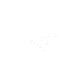 Cc1c(C(=O)N(c2ccc(O)cc2)c2cnc3c(ccn3C)c2)cc(-c2cc(F)ccc2C(=O)N2Cc3ccccc3C[C@H]2CF)n1C